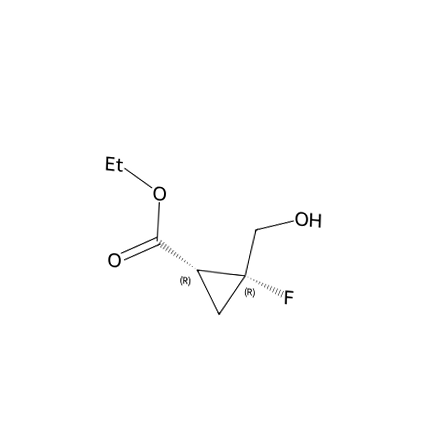 CCOC(=O)[C@H]1C[C@]1(F)CO